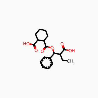 CCC(C(=O)O)C(OC(=O)C1CCCCC1C(=O)O)c1ccccc1